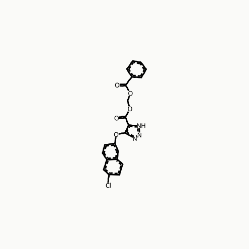 O=C(OCOC(=O)c1[nH]nnc1Oc1ccc2cc(Cl)ccc2c1)c1ccccc1